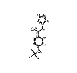 CC(C)(C)Oc1ccc(C(Cl)Cn2ccnc2)cc1